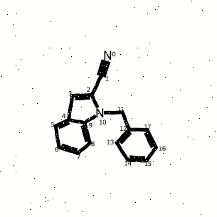 N#Cc1[c]c2ccccc2n1Cc1ccccc1